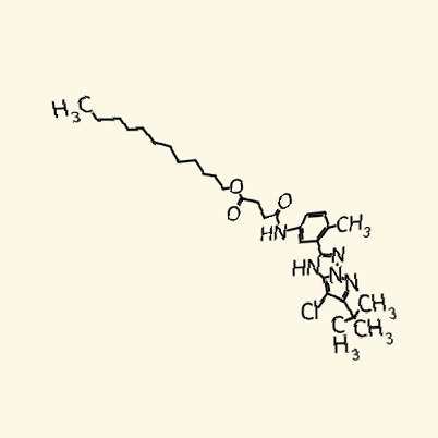 CCCCCCCCCCCCOC(=O)CCC(=O)Nc1ccc(C)c(-c2nn3nc(C(C)(C)C)c(Cl)c3[nH]2)c1